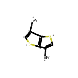 CCCc1csc2c(CCC)csc12